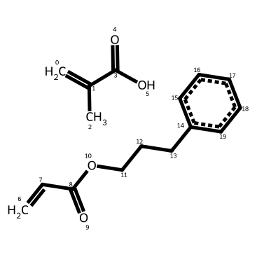 C=C(C)C(=O)O.C=CC(=O)OCCCc1ccccc1